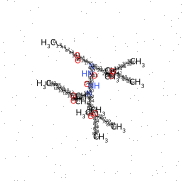 CCCCCCCCCCCOC(=O)CCCCCN(CCCCCCC(C)(C)C(=O)OC(CCCCCCCC)CCCCCCCC)CCNC(=O)CCC(=O)NCCN(CCCCCCC(C)(C)C(=O)OC(CCCCCCCC)CCCCCCCC)CCCCC(C)(C)C(=O)OCCCCCCCCCCC